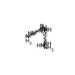 C[C@H](NC(=O)CCCCCCNC(=N)N)C(=O)NCCCCNCCCN